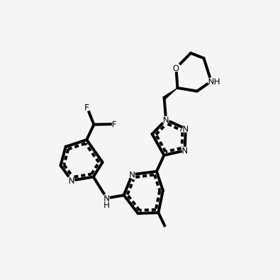 Cc1cc(Nc2cc(C(F)F)ccn2)nc(-c2cn(C[C@@H]3CNCCO3)nn2)c1